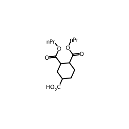 CCCOC(=O)C1CCC(C(=O)O)CC1C(=O)OCCC